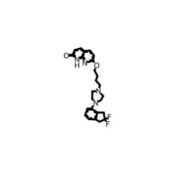 O=c1ccc2ccc(OCCCCN3CCN(c4cccc5c4CC(F)(F)C5)CC3)nc2[nH]1